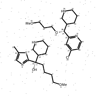 COCCCC[C@@](O)(c1ncc(C)s1)C1CCCNC1.COCCCO[C@@H](c1cc(Cl)ccn1)C1CCCNC1